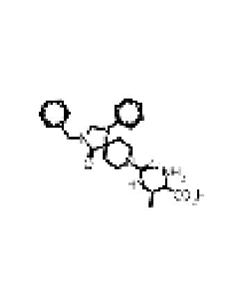 CC(NC(=O)N1CCC2(CC1)C(=O)N(Cc1ccccc1)CN2c1ccccc1)C(N)C(=O)O